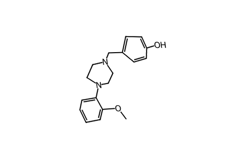 COc1ccccc1N1CCN(Cc2ccc(O)cc2)CC1